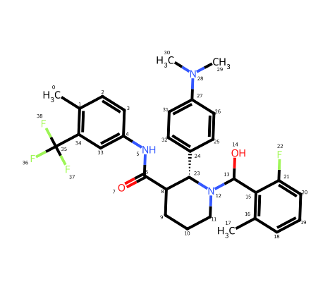 Cc1ccc(NC(=O)C2CCCN(C(O)c3c(C)cccc3F)[C@H]2c2ccc(N(C)C)cc2)cc1C(F)(F)F